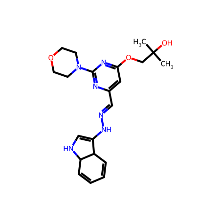 CC(C)(O)COc1cc(/C=N/NC2=CNC3C=CC=CC23)nc(N2CCOCC2)n1